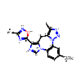 COc1ccc2c(c1)-n1nnc(C)c1Cc1c(-c3nc(C(C)C)no3)ncn1-2